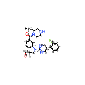 C[C@H]1CNCCN1C(=O)c1ccc2c(c1)N(c1ncc(-c3ccccc3F)cn1)CC21COC1